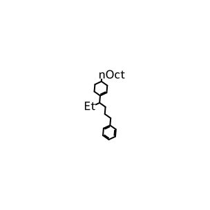 CCCCCCCCC1CC=C(C(CC)CCCc2ccccc2)CC1